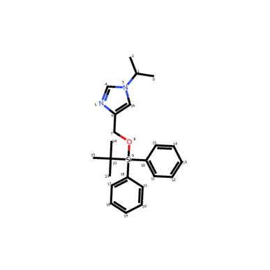 CC(C)n1cnc(CO[Si](c2ccccc2)(c2ccccc2)C(C)(C)C)c1